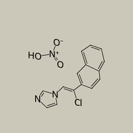 ClC(=Cn1ccnc1)c1ccc2ccccc2c1.O=[N+]([O-])O